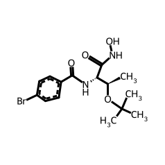 C[C@@H](OC(C)(C)C)[C@H](NC(=O)c1ccc(Br)cc1)C(=O)NO